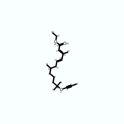 CC#COC(C)(C)CCCC(C)CC=CC(C)=CC(=O)OCC